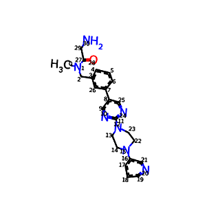 CN(Cc1cccc(-c2cnc(N3CCN(c4cccnc4)CC3)nc2)c1)C(=O)CN